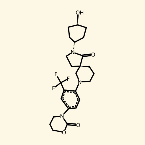 O=C1OCCCN1c1ccc(N2CCC[C@]3(CCN([C@H]4CC[C@H](O)CC4)C3=O)C2)c(C(F)(F)F)c1